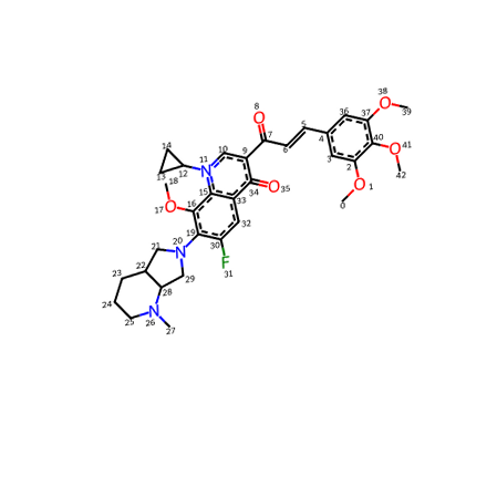 COc1cc(C=CC(=O)c2cn(C3CC3)c3c(OC)c(N4CC5CCCN(C)C5C4)c(F)cc3c2=O)cc(OC)c1OC